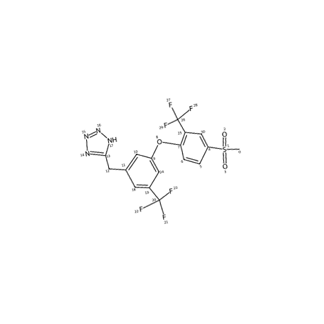 CS(=O)(=O)c1ccc(Oc2cc(Cc3nnn[nH]3)cc(C(F)(F)F)c2)c(C(F)(F)F)c1